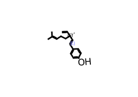 C=C[C@@](C)(/C=C/c1ccc(O)cc1)CCC=C(C)C